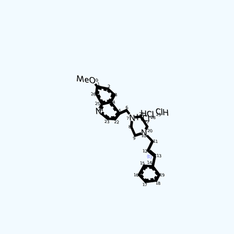 COc1ccc2c(CN3CCN(C/C=C/c4ccccc4)CC3)ccnc2c1.Cl.Cl.Cl